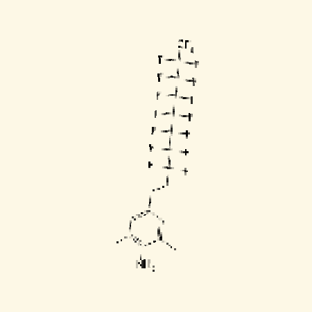 Cc1cc(CCC(F)(F)C(F)(F)C(F)(F)C(F)(F)C(F)(F)C(F)(F)C(F)(F)C(F)(F)F)cc(C)c1N